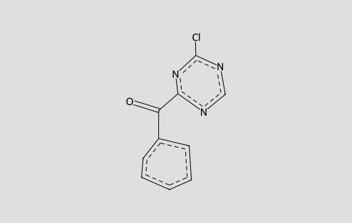 O=C(c1ccccc1)c1ncnc(Cl)n1